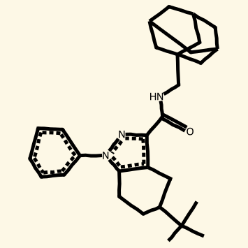 CC(C)(C)C1CCc2c(c(C(=O)NCC34CC5CC(CC(C5)C3)C4)nn2-c2ccccc2)C1